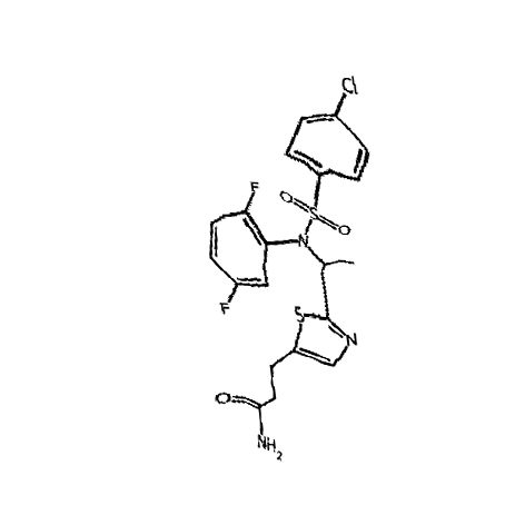 CC(c1ncc(CCC(N)=O)s1)N(c1cc(F)ccc1F)S(=O)(=O)c1ccc(Cl)cc1